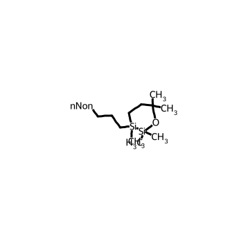 CCCCCCCCCCCC[Si]1(C)CCC(C)(C)O[Si]1(C)C